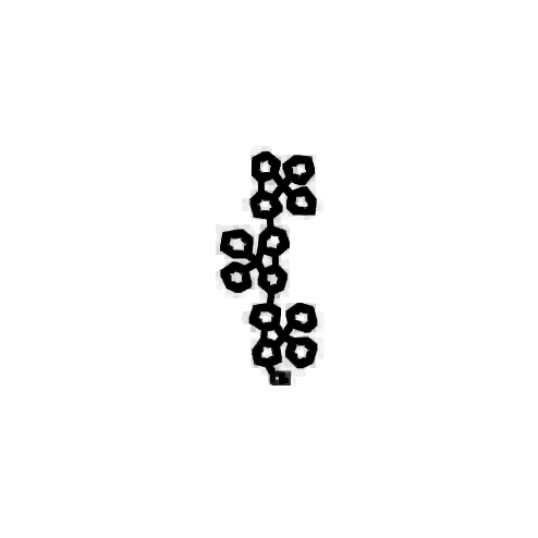 N#Cc1ccc2c(c1)C(c1ccccc1)(c1ccccc1)c1cc(-c3ccc4c(c3)C(c3ccccc3)(c3ccccc3)c3cc(-c5ccc6c(c5)C(c5ccccc5)(c5ccccc5)c5ccccc5-6)ccc3-4)ccc1-2